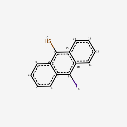 Sc1c2ccccc2c(I)c2ccccc12